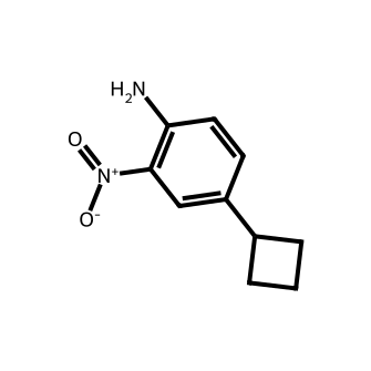 Nc1ccc(C2CCC2)cc1[N+](=O)[O-]